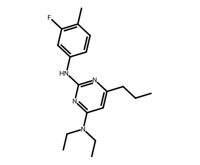 CCCc1cc(N(CC)CC)nc(Nc2ccc(C)c(F)c2)n1